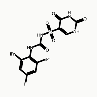 CC(C)c1cc(F)cc(C(C)C)c1NC(=O)NS(=O)(=O)c1c[nH]c(=O)[nH]c1=O